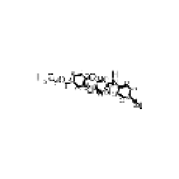 CCOCc1ccc(Oc2ccnc(Nc3ccc(C#N)cc3)n2)c(C)c1